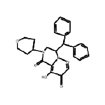 O=C1c2c(O)c(=O)cnn2C(C(c2ccccc2)c2ccccc2)CN1C1CCOCC1